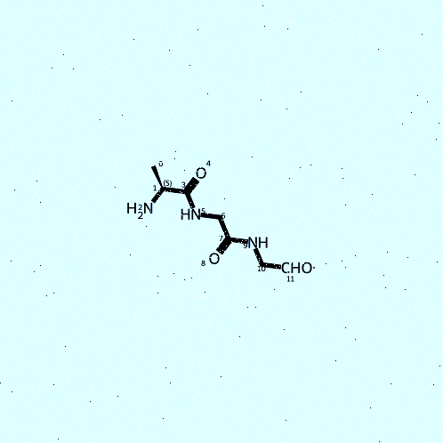 C[C@H](N)C(=O)NCC(=O)NC[C]=O